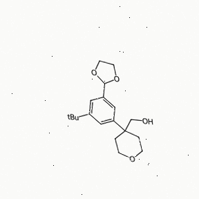 CC(C)(C)c1cc(C2OCCO2)cc(C2(CO)CCOCC2)c1